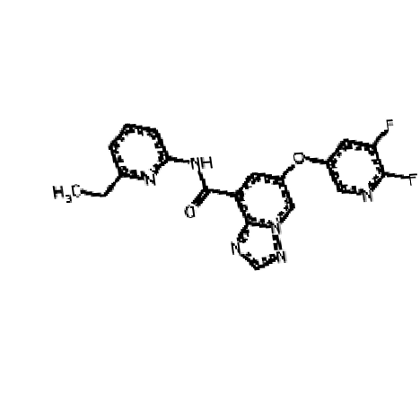 CCc1cccc(NC(=O)c2cc(Oc3cnc(F)c(F)c3)cn3ncnc23)n1